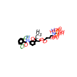 Cc1oc2c(NC(=O)c3c(Cl)cccc3Cl)cccc2c1COC(=O)CCCC(=O)NC(P(=O)(O)O)P(=O)(O)O